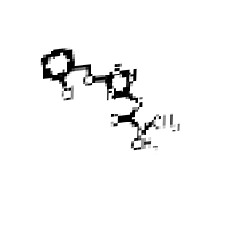 CN(C)C(=O)Sc1nsc(OCc2ccccc2Cl)n1